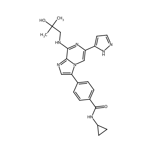 CC(C)(O)CNc1nc(-c2ccn[nH]2)cn2c(-c3ccc(C(=O)NC4CC4)cc3)cnc12